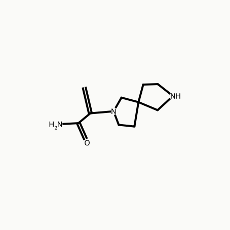 C=C(C(N)=O)N1CCC2(CCNC2)C1